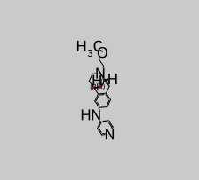 COCCN1CC[C@]23CCCC[C@H]2[C@H]1Cc1ccc(Nc2ccncc2)cc13